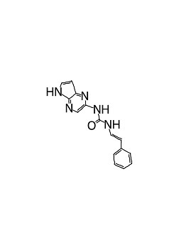 O=C(NC=Cc1ccccc1)Nc1cnc2[nH]ccc2n1